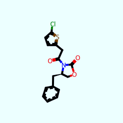 O=C(Cc1ccc(Cl)s1)N1C(=O)OC[C@H]1Cc1ccccc1